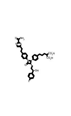 NC(=O)c1ncc(CCc2ccc(N3C(=O)[C@H](CC[C@H](O)c4ccc(F)cc4)[C@H]3c3ccc(CCCC(C(=O)O)C(=O)O)cc3)cc2)s1